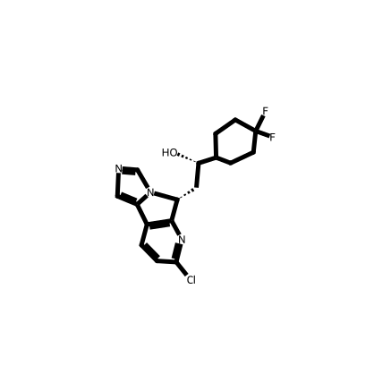 O[C@@H](C[C@@H]1c2nc(Cl)ccc2-c2cncn21)C1CCC(F)(F)CC1